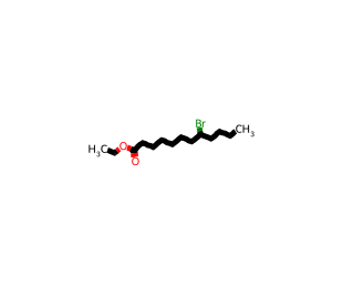 CCCCC(Br)CCCCCCC(=O)OCC